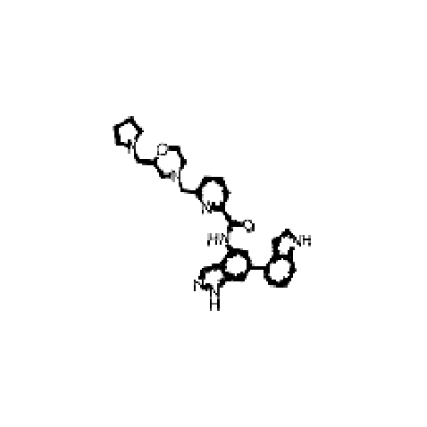 O=C(Nc1cc(-c2cccc3[nH]ccc23)cc2[nH]ncc12)c1cccc(CN2CCOC(CN3CCCC3)C2)n1